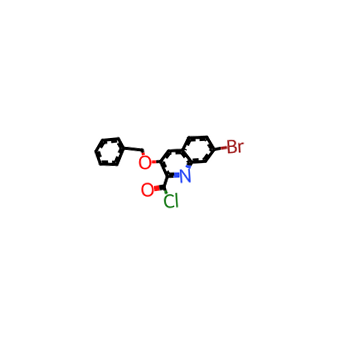 O=C(Cl)c1nc2cc(Br)ccc2cc1OCc1ccccc1